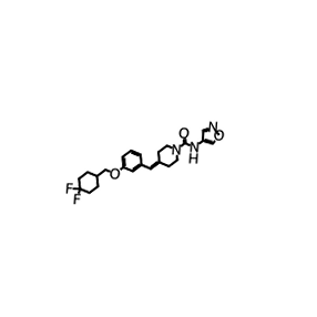 O=C(Nc1cnoc1)N1CCC(=Cc2cccc(OCC3CCC(F)(F)CC3)c2)CC1